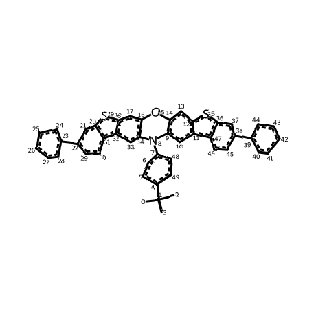 CC(C)(C)c1ccc(N2c3cc4c(cc3Oc3cc5sc6cc(-c7ccccc7)ccc6c5cc32)sc2cc(-c3ccccc3)ccc24)cc1